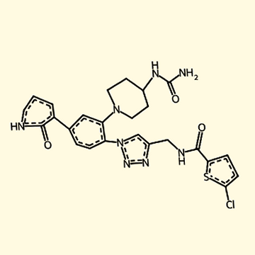 NC(=O)NC1CCN(c2cc(-c3ccc[nH]c3=O)ccc2-n2cc(CNC(=O)c3ccc(Cl)s3)nn2)CC1